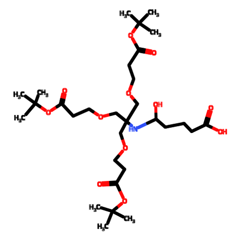 CC(C)(C)OC(=O)CCOCC(COCCC(=O)OC(C)(C)C)(COCCC(=O)OC(C)(C)C)NC(O)CCCC(=O)O